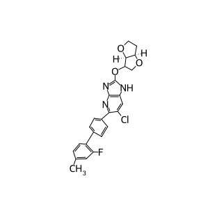 Cc1ccc(-c2ccc(-c3nc4nc(OC5CO[C@@H]6CCO[C@H]56)[nH]c4cc3Cl)cc2)c(F)c1